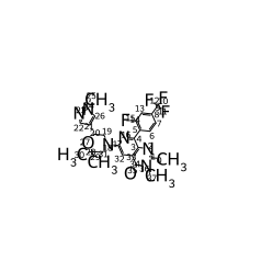 Cc1nc2c(-c3ccc(C(F)(F)F)cc3F)nc(N3C[C@@H](c4cnn(C)c4)OC(C)(C)C3)cc2c(=O)n1C